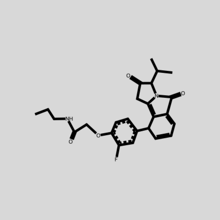 CCCNC(=O)COc1ccc(C2C=CC=C3C(=O)N4C(=C32)CC(=O)C4C(C)C)cc1F